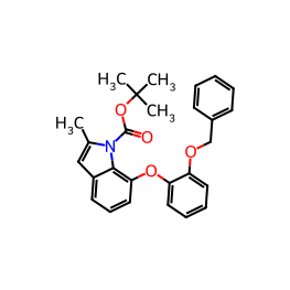 Cc1cc2cccc(Oc3ccccc3OCc3ccccc3)c2n1C(=O)OC(C)(C)C